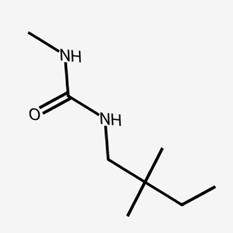 CCC(C)(C)CNC(=O)NC